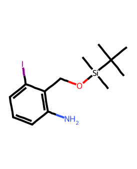 CC(C)(C)[Si](C)(C)OCc1c(N)cccc1I